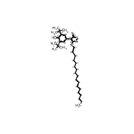 CCCCCCCCCCCCCCCCCCSc1ssc(=S)c1-c1cc(C(C)(C)C)c(O)c(C(C)(C)C)c1